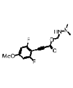 COc1cc(F)c(C#CC(=O)OCNN(C)C)c(F)c1